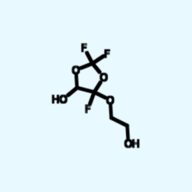 OCCOC1(F)OC(F)(F)OC1O